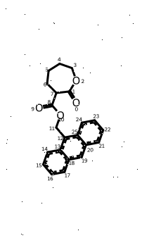 O=C1OCCCCC1C(=O)OCc1c2ccccc2cc2ccccc12